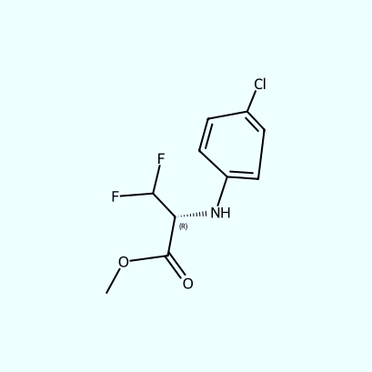 COC(=O)[C@@H](Nc1ccc(Cl)cc1)C(F)F